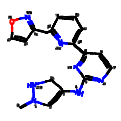 CN1C=C(Nc2nccc(-c3cccc(-c4ccon4)n3)n2)CN1